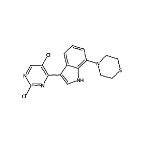 Clc1ncc(Cl)c(-c2c[nH]c3c(N4CCSCC4)cccc23)n1